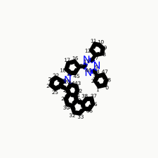 c1ccc(-c2nc(-c3ccccc3)nc(-c3cccc(-n4c5ccccc5c5c6ccc7ccc8ccccc8c7c6ccc54)c3)n2)cc1